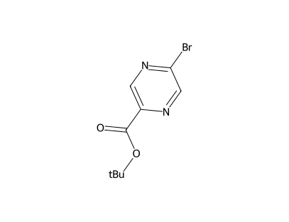 CC(C)(C)OC(=O)c1cnc(Br)cn1